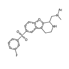 CC(=O)N(C)CC1NCCc2c1oc1ccc(S(=O)(=O)c3cccc(F)c3)cc21